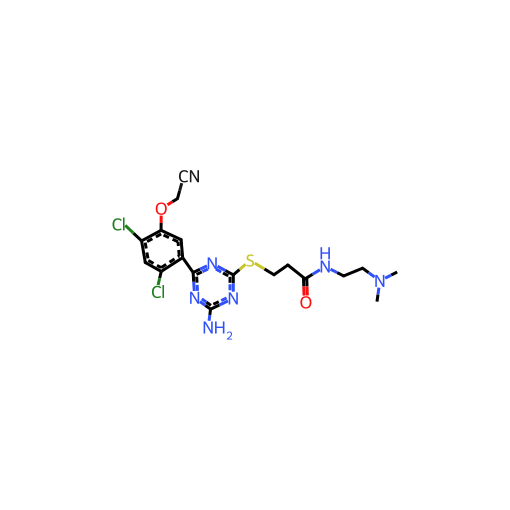 CN(C)CCNC(=O)CCSc1nc(N)nc(-c2cc(OCC#N)c(Cl)cc2Cl)n1